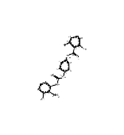 Nc1c(Cl)cccc1NC(=S)Nc1ccc(NC(=O)c2c(F)cccc2F)cc1